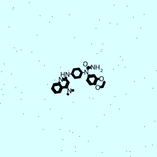 CN(C)c1cc(N[C@H]2CC[C@@H](N(C(N)=O)c3ccc4c(c3)OCCO4)CC2)nc2ccccc12